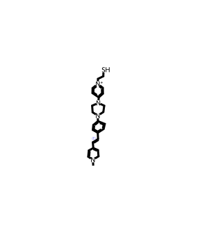 CN1C=CC(/C=C/c2ccc(N3CCN(c4cc[n+](CCS)cc4)CC3)cc2)=CC1